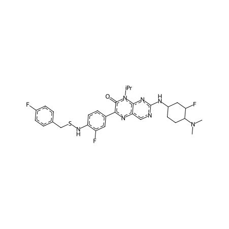 CC(C)n1c(=O)c(-c2ccc(NSCc3ccc(F)cc3)c(F)c2)nc2cnc(NC3CCC(N(C)C)C(F)C3)nc21